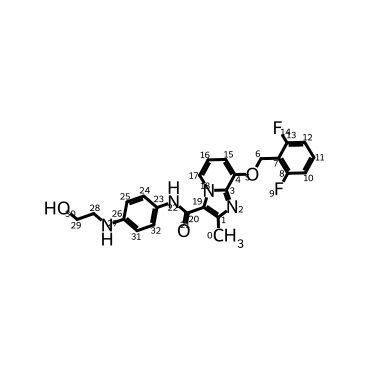 Cc1nc2c(OCc3c(F)cccc3F)cccn2c1C(=O)Nc1ccc(NCCO)cc1